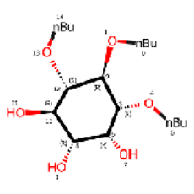 CCCCO[C@H]1[C@H](OCCCC)[C@H](O)[C@H](O)[C@@H](O)[C@@H]1OCCCC